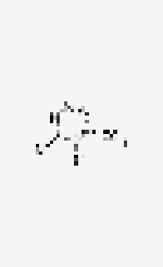 Clc1nnnc(C(Cl)(Cl)Cl)c1Cl